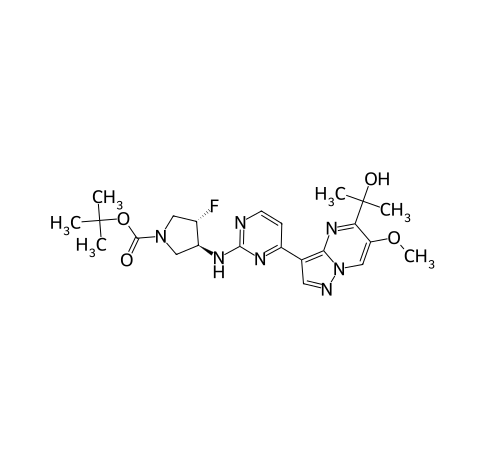 COc1cn2ncc(-c3ccnc(N[C@H]4CN(C(=O)OC(C)(C)C)C[C@@H]4F)n3)c2nc1C(C)(C)O